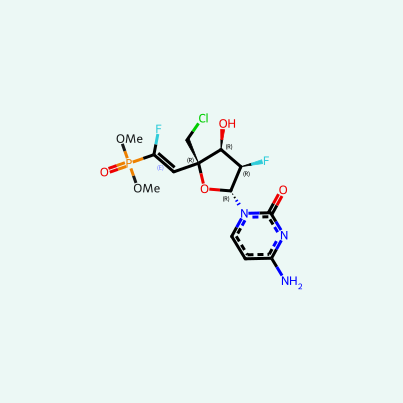 COP(=O)(OC)/C(F)=C/[C@@]1(CCl)O[C@@H](n2ccc(N)nc2=O)[C@H](F)[C@@H]1O